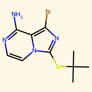 CC(C)(C)Sc1nc(Br)c2c(N)nccn12